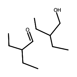 CCC(C=O)CC.CCC(CC)CO